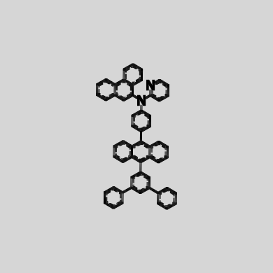 c1ccc(-c2cc(-c3ccccc3)cc(-c3c4ccccc4c(-c4ccc(N(c5ccccn5)c5cc6ccccc6c6ccccc56)cc4)c4ccccc34)c2)cc1